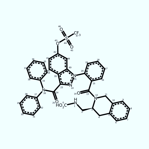 O=C(O)NC[C@@H]1Cc2ccccc2CN1C(=O)c1ccccc1-n1nc(C(=O)N(c2ccccc2)c2ccccc2)c2ccc(OS(=O)(=O)C(F)(F)F)cc21